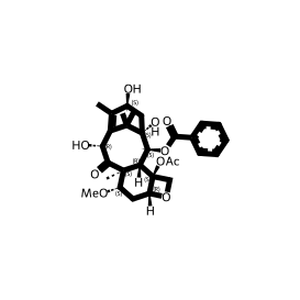 CO[C@H]1C[C@H]2OC[C@@]2(OC(C)=O)[C@H]2[C@H](OC(=O)c3ccccc3)[C@]3(O)C[C@H](O)C(C)=C([C@@H](O)C(=O)[C@]12C)C3(C)C